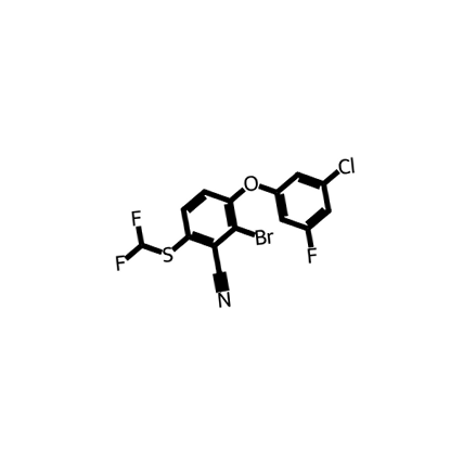 N#Cc1c(SC(F)F)ccc(Oc2cc(F)cc(Cl)c2)c1Br